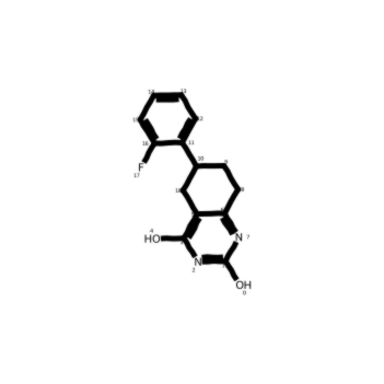 Oc1nc(O)c2c(n1)CCC(c1ccccc1F)C2